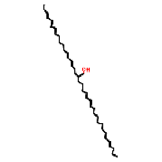 CCCCCCCCCCCCCCCCCCCCC(CO)CCCCCCCCCCCCCCCCCC